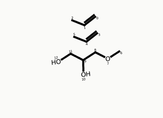 C=CC.C=CC.COCC(O)CO